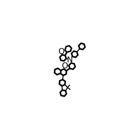 CC1(C)c2ccccc2-c2ccc(-c3cc4c5cccc(N(c6ccc(-c7ccccc7)cc6)c6cccc7oc8ccccc8c67)c5oc4c4ccccc34)cc21